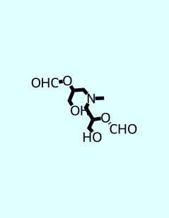 CN(CC(CO)OC=O)CC(CO)OC=O